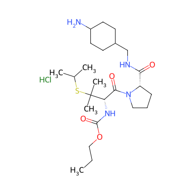 CCCOC(=O)N[C@@H](C(=O)N1CCC[C@H]1C(=O)NCC1CCC(N)CC1)C(C)(C)SC(C)C.Cl